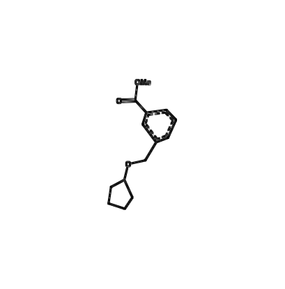 COC(=O)c1cccc(COC2CCCC2)c1